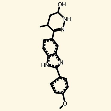 COc1ccc(-c2nc3cc(C4=NNC(O)CC4C)ccc3[nH]2)cc1